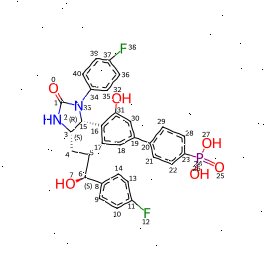 O=C1N[C@@H](CC[C@H](O)c2ccc(F)cc2)[C@@H](c2ccc(-c3ccc(P(=O)(O)O)cc3)cc2O)N1c1ccc(F)cc1